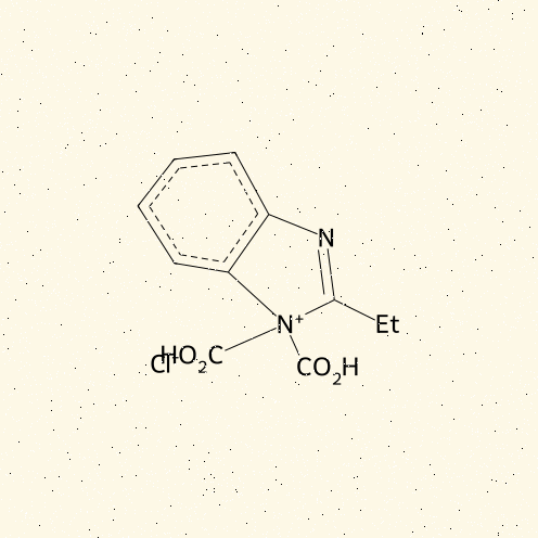 CCC1=Nc2ccccc2[N+]1(C(=O)O)C(=O)O.[Cl-]